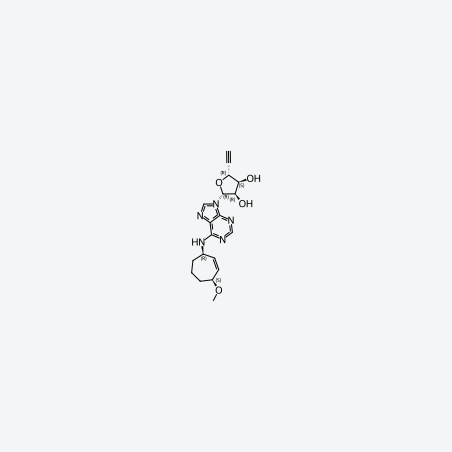 C#C[C@H]1O[C@@H](n2cnc3c(N[C@H]4C=C[C@@H](OC)CCC4)ncnc32)[C@H](O)[C@@H]1O